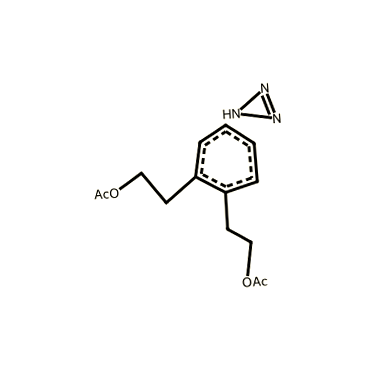 CC(=O)OCCc1ccccc1CCOC(C)=O.N1=NN1